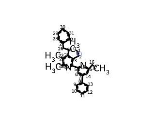 C/C=C\c1c(-c2cc(-c3ccccc3)cc(CC)n2)nc(C)c(C)c1CCc1ccccc1